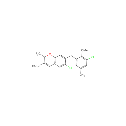 COc1c(Cl)cc(C)cc1Cc1cc2c(cc1Cl)C=C(C(=O)O)C(C(F)(F)F)O2